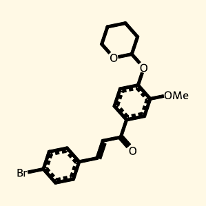 COc1cc(C(=O)C=Cc2ccc(Br)cc2)ccc1OC1CCCCO1